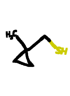 CC1(CS)CC1